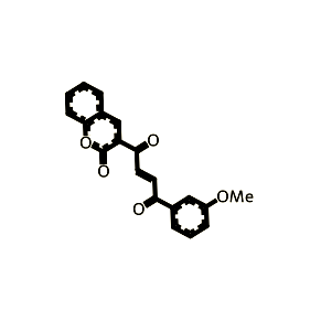 COc1cccc(C(=O)/C=C/C(=O)c2cc3ccccc3oc2=O)c1